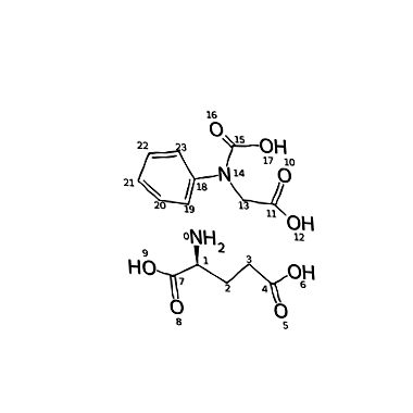 N[C@@H](CCC(=O)O)C(=O)O.O=C(O)CN(C(=O)O)c1ccccc1